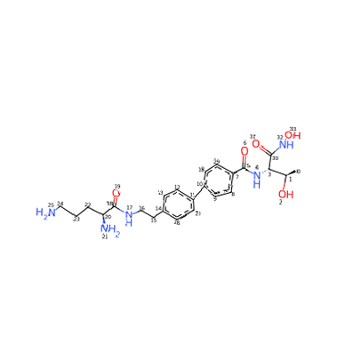 C[C@@H](O)[C@H](NC(=O)c1ccc(-c2ccc(CCNC(=O)[C@@H](N)CCCN)cc2)cc1)C(=O)NO